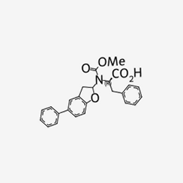 COC(=O)N(C1Cc2cc(-c3ccccc3)ccc2O1)[C@H](Cc1ccccc1)C(=O)O